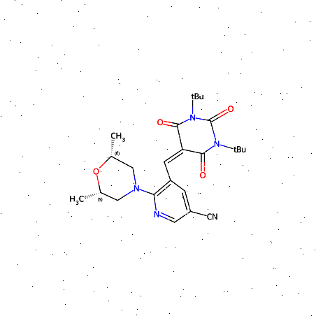 C[C@@H]1CN(c2ncc(C#N)cc2C=C2C(=O)N(C(C)(C)C)C(=O)N(C(C)(C)C)C2=O)C[C@H](C)O1